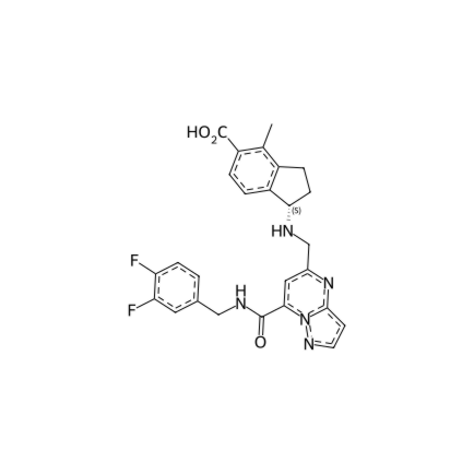 Cc1c(C(=O)O)ccc2c1CC[C@@H]2NCc1cc(C(=O)NCc2ccc(F)c(F)c2)n2nccc2n1